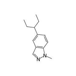 CCC(CC)c1ccc2c(cnn2C)c1